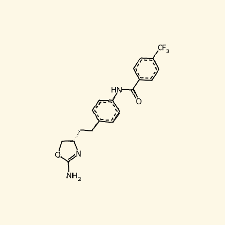 NC1=N[C@@H](CCc2ccc(NC(=O)c3ccc(C(F)(F)F)cc3)cc2)CO1